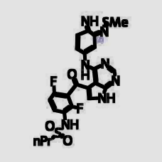 CCCS(=O)(=O)Nc1ccc(F)c(C(=O)c2c[nH]c3ncnc(NC4=C/C(=N/SC)C(=N)C=C4)c23)c1F